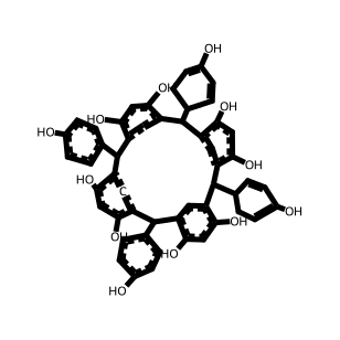 OC1=CCC(C2c3cc(c(O)cc3O)C(c3ccc(O)cc3)c3cc(c(O)cc3O)C(c3ccc(O)cc3)c3cc(c(O)cc3O)C(C3C=CC(O)=CC3)c3cc2c(O)cc3O)C=C1